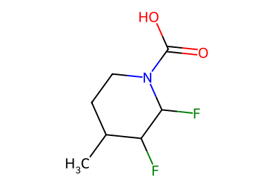 CC1CCN(C(=O)O)C(F)C1F